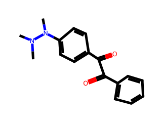 CN(C)N(C)c1ccc(C(=O)C(=O)c2ccccc2)cc1